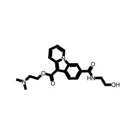 CN(C)CCOC(=O)c1c2ccc(C(=O)NCCO)cc2n2ccccc12